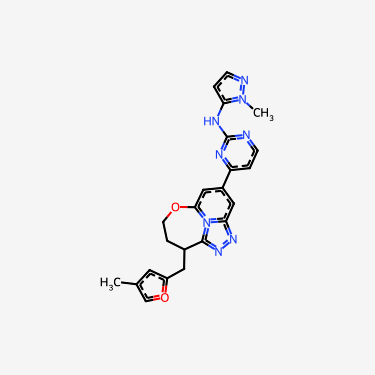 Cc1coc(CC2CCOc3cc(-c4ccnc(Nc5ccnn5C)n4)cc4nnc2n34)c1